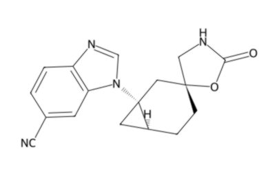 N#Cc1ccc2ncn([C@@]34C[C@@H]3CC[C@]3(CNC(=O)O3)C4)c2c1